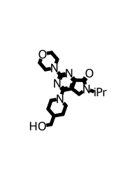 CC(C)N1Cc2c(nc(N3CCOCC3)nc2N2CCC(CO)CC2)C1=O